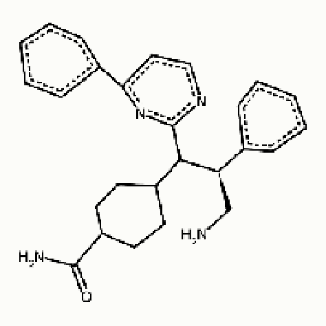 NC[C@H](c1ccccc1)C(c1nccc(-c2ccccc2)n1)C1CCC(C(N)=O)CC1